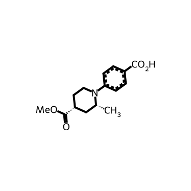 COC(=O)[C@@H]1CCN(c2ccc(C(=O)O)cc2)[C@H](C)C1